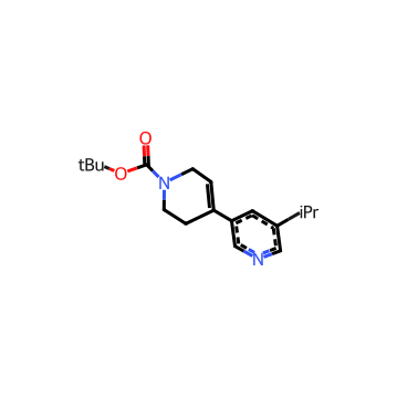 CC(C)c1cncc(C2=CCN(C(=O)OC(C)(C)C)CC2)c1